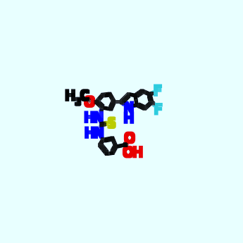 COc1ccc(-c2cc3cc(F)c(F)cc3[nH]2)cc1NC(=S)Nc1cccc(C(=O)O)c1